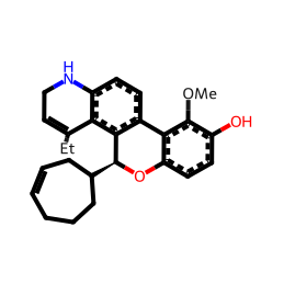 CCC1=CCNc2ccc3c(c21)[C@H](C1CC=CCCC1)Oc1ccc(O)c(OC)c1-3